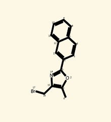 Cc1oc(-c2ccc3ccccc3c2)nc1CBr